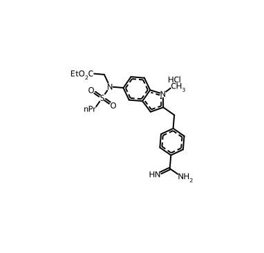 CCCS(=O)(=O)N(CC(=O)OCC)c1ccc2c(c1)cc(Cc1ccc(C(=N)N)cc1)n2C.Cl